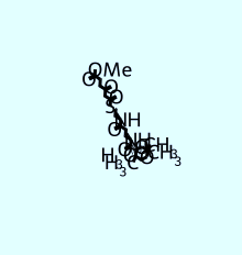 COC(=O)CCC(=O)CC(=O)SCCNC(=O)CCNC(=O)[C@@H]1OC(C)(C)OCC1(C)C